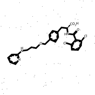 O=C(N[C@@H](Cc1ccc(COCCCNc2ccccn2)cc1)C(=O)O)c1c(Cl)cccc1Cl